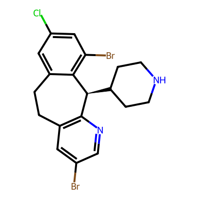 Clc1cc(Br)c2c(c1)CCc1cc(Br)cnc1[C@@H]2C1CCNCC1